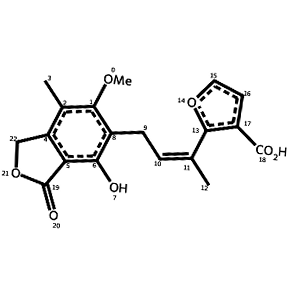 COc1c(C)c2c(c(O)c1C/C=C(/C)c1occc1C(=O)O)C(=O)OC2